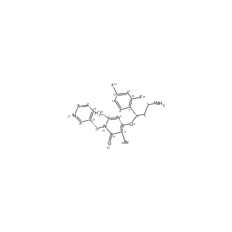 Cc1nc(OC(CCN)c2ccc(F)cc2F)c(Br)c(=O)n1Cc1cccnc1